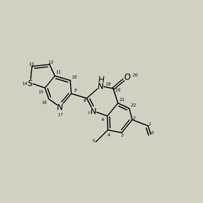 C=Cc1cc(C)c2nc(-c3cc4ccsc4cn3)[nH]c(=O)c2c1